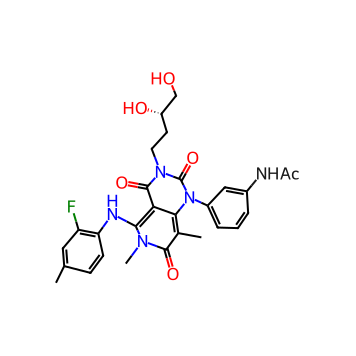 CC(=O)Nc1cccc(-n2c(=O)n(CC[C@H](O)CO)c(=O)c3c(Nc4ccc(C)cc4F)n(C)c(=O)c(C)c32)c1